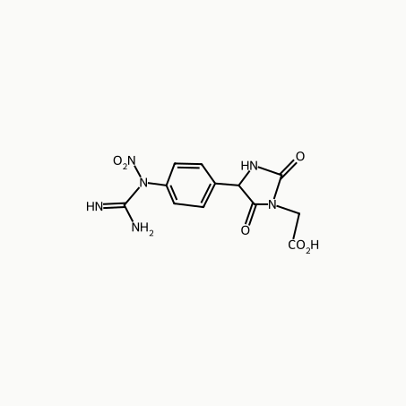 N=C(N)N(c1ccc(C2NC(=O)N(CC(=O)O)C2=O)cc1)[N+](=O)[O-]